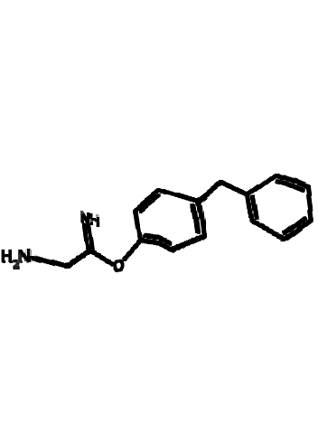 N=C(CN)Oc1ccc(Cc2ccccc2)cc1